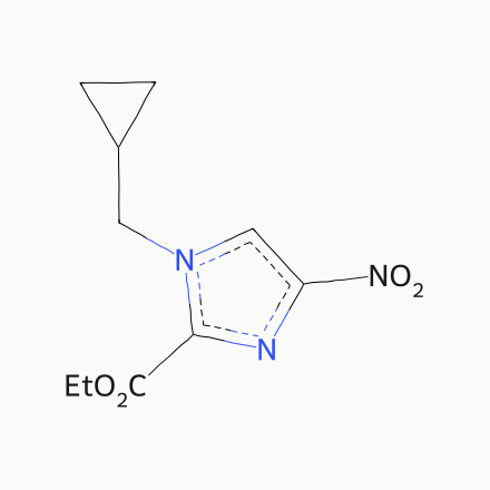 CCOC(=O)c1nc([N+](=O)[O-])cn1CC1CC1